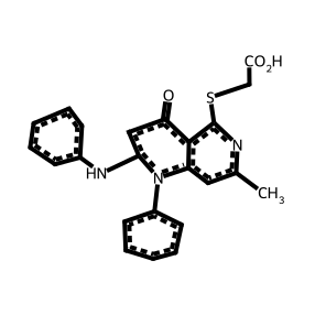 Cc1cc2c(c(SCC(=O)O)n1)c(=O)cc(Nc1ccccc1)n2-c1ccccc1